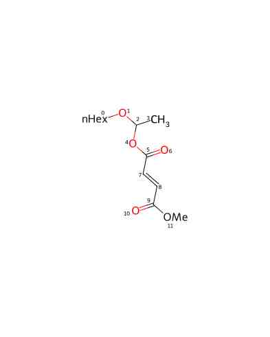 CCCCCCOC(C)OC(=O)C=CC(=O)OC